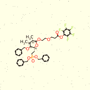 C[C@@H]1[C@@H](OCCOCCC(=O)Oc2c(F)c(F)c(F)c(F)c2F)O[C@H](CCP(=O)(OCc2ccccc2)OCc2ccccc2)[C@@H](OCc2ccccc2)[C@@H]1C